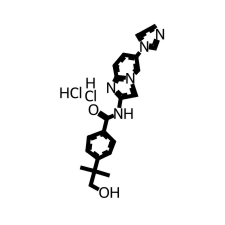 CC(C)(CO)c1ccc(C(=O)Nc2cn3cc(-n4ccnc4)ccc3n2)cc1.Cl.Cl